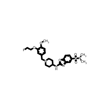 COc1ccc(CN2CCC(Nc3nc4cc(S(=O)(=O)N(C)C)ccc4o3)CC2)cc1OCCF